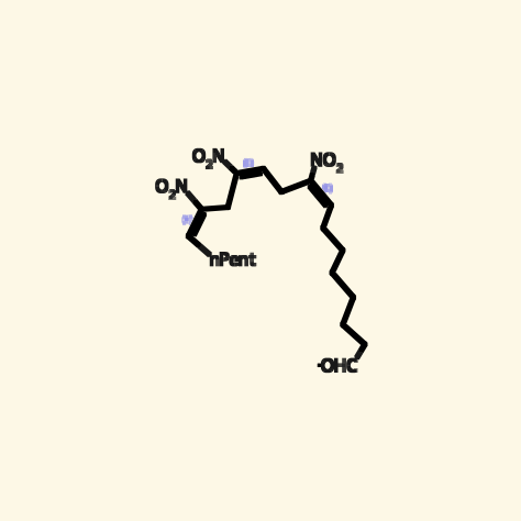 CCCCC/C=C(\C/C(=C\C/C(=C\CCCCCC[C]=O)[N+](=O)[O-])[N+](=O)[O-])[N+](=O)[O-]